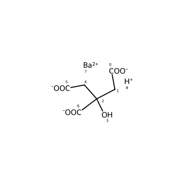 O=C([O-])CC(O)(CC(=O)[O-])C(=O)[O-].[Ba+2].[H+]